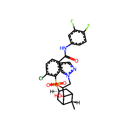 C[C@H]1C2C[C@H](S(=O)(=O)c3cc(C(=O)Nc4ccc(F)c(F)c4)ccc3Cl)CC1[C@@]2(O)C(O)Cn1cccn1